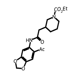 CCOC(=O)N1CCCC(CC(=O)Nc2cc3c(cc2C(C)=O)OCO3)C1